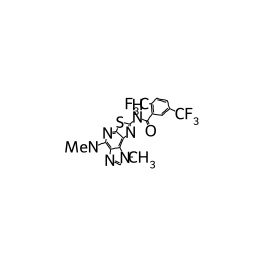 CNc1nc2sc(NC(=O)c3cc(C(F)(F)F)ccc3C(F)(F)F)nc2c2c1ncn2C